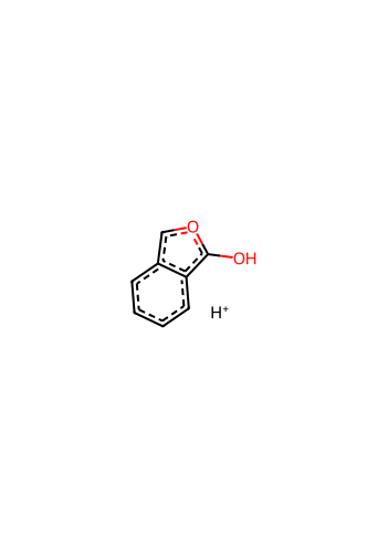 Oc1occ2ccccc12.[H+]